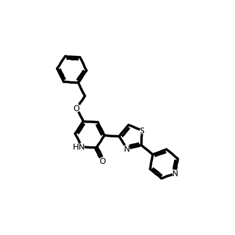 O=c1[nH]cc(OCc2ccccc2)cc1-c1csc(-c2ccncc2)n1